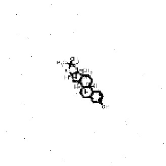 CC1(C)O[C@@H]2C[C@H]3[C@@H]4CCc5cc(O)ccc5[C@H]4CC[C@]3(C)[C@H]2O1